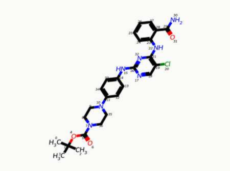 CC(C)(C)OC(=O)N1CCN(c2ccc(Nc3ncc(Cl)c(Nc4ccccc4C(N)=O)n3)cc2)CC1